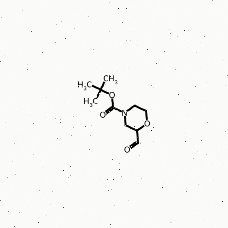 CC(C)(C)OC(=O)N1CCOC([C]=O)C1